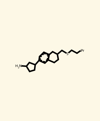 CC(C)CCSCC1CCc2cc(C3CCC(N)C3)ccc2C1